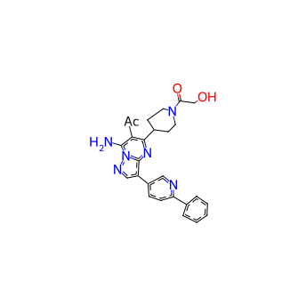 CC(=O)c1c(C2CCN(C(=O)CO)CC2)nc2c(-c3ccc(-c4ccccc4)nc3)cnn2c1N